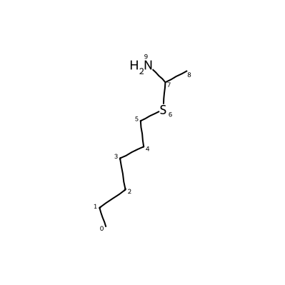 CCCCCCSC(C)N